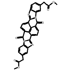 COC(=O)Cc1ccc2c(c1)nc1c3ccc4c(=O)n5c6cc(CC(=O)OC)ccc6nc5c5ccc(c(=O)n21)c3c45